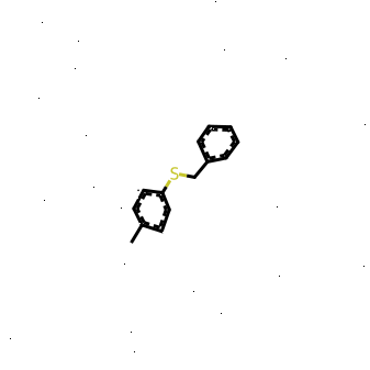 Cc1c[c]c(SCc2ccccc2)cc1